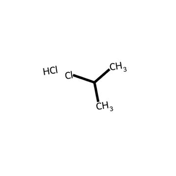 CC(C)Cl.Cl